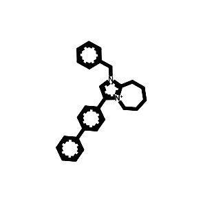 c1ccc(Cn2cc(-c3ccc(-c4ccccc4)cc3)[n+]3c2CCCCC3)cc1